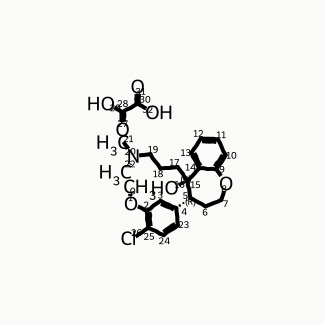 COc1cc([C@H]2CCOc3ccccc3[C@@]2(O)CCCN(C)C)ccc1Cl.O=C(O)C(=O)O